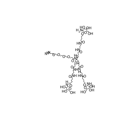 [N-]=[N+]=NCCOCCOCCOCCOCCC(=O)NC(COCCC(=O)NCCCNC(=O)CCCCOC1OC(CO)C(O)C(O)C1N)(COCCC(=O)NCCCNC(=O)CCCCOC1OC(CO)C(O)C(O)C1N)COCCC(=O)NCCCNC(=O)CCCCOC1OC(CO)C(O)C(O)C1N